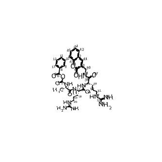 C[C@H](NC(=O)OC(=O)c1ccccc1)C(=O)N[C@@H](CCCNC(=N)N)C(=O)N[C@@H](CCCNC(=N)N)C(=O)NCc1cc2ccccc2oc1=O